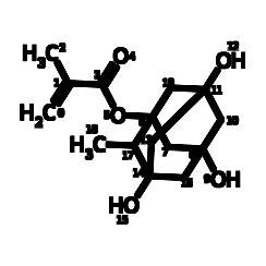 C=C(C)C(=O)OC12CC3(O)CC(O)(CC(O)(C3)C1C)C2